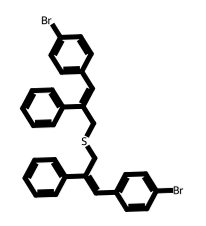 Brc1ccc(C=C(CSCC(=Cc2ccc(Br)cc2)c2ccccc2)c2ccccc2)cc1